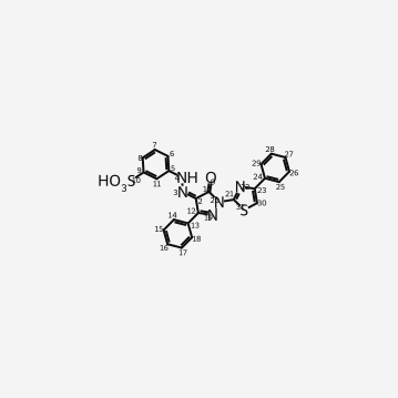 O=C1/C(=N\Nc2cccc(S(=O)(=O)O)c2)C(c2ccccc2)=NN1c1nc(-c2ccccc2)cs1